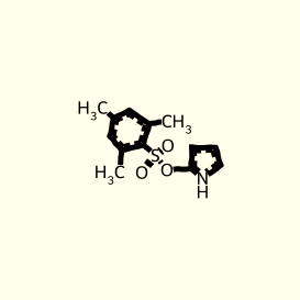 Cc1cc(C)c(S(=O)(=O)Oc2ccc[nH]2)c(C)c1